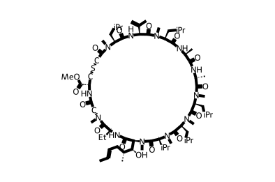 C=C(C)[C@@H]1NC(=O)[C@H](CC(C)C)N(C)C(=O)CSC[C@@H](C(=O)OC)NC(=O)CN(C)C(=O)[C@H](CC)NC(=O)[C@H]([C@H](O)[C@H](C)C/C=C/C)N(C)C(=O)[C@H](C(C)C)N(C)C(=O)[C@H](CC(C)C)N(C)C(=O)[C@H](CC(C)C)N(C)C(=O)[C@@H](C)NC(=O)[C@H](C)NC(=O)[C@H](CC(C)C)N(C)C1=O